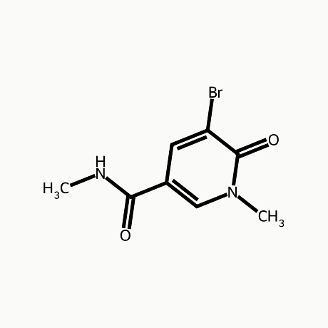 CNC(=O)c1cc(Br)c(=O)n(C)c1